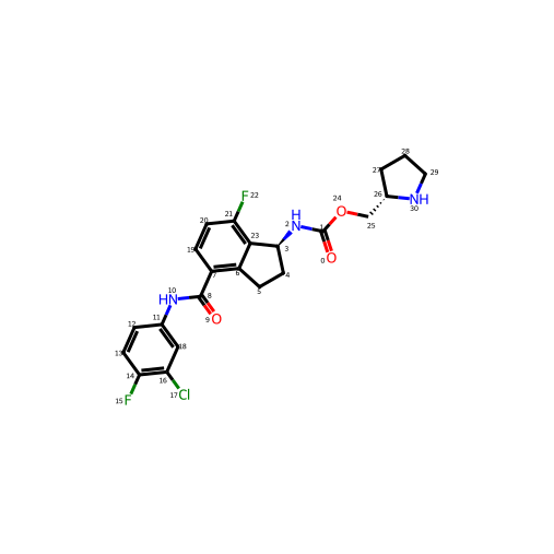 O=C(N[C@H]1CCc2c(C(=O)Nc3ccc(F)c(Cl)c3)ccc(F)c21)OC[C@@H]1CCCN1